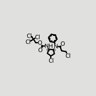 O=C(N[C@@H]1CC(Cl)C[C@H]1N(C(=O)CCCl)c1ccccc1)OCC(Cl)(Cl)Cl